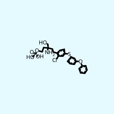 NC(CO)(C[CH]OP(=O)(O)O)CCc1ccc(Sc2cccc(Oc3ccccc3)c2)cc1Cl